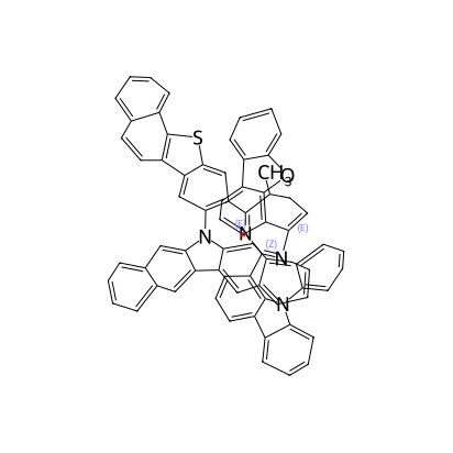 CC1C/C=C(c2cccc3c2oc2ccccc23)/N=C(c2cccc3c4ccccc4n(-c4ccccc4)c23)\N=C/1c1cc2sc3c4ccccc4ccc3c2cc1-n1c2cc3ccccc3cc2c2cc3ccccc3cc21